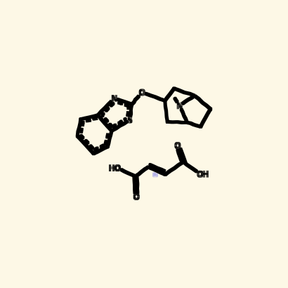 CN1C2CCC1CC(Oc1nc3ccccc3s1)C2.O=C(O)/C=C/C(=O)O